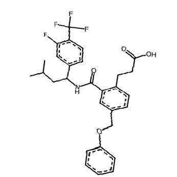 CC(C)CC(NC(=O)c1cc(COc2ccccc2)ccc1CCC(=O)O)c1ccc(C(F)(F)F)c(F)c1